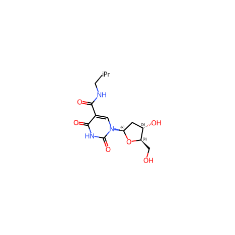 CC(C)CNC(=O)c1cn([C@H]2C[C@H](O)[C@@H](CO)O2)c(=O)[nH]c1=O